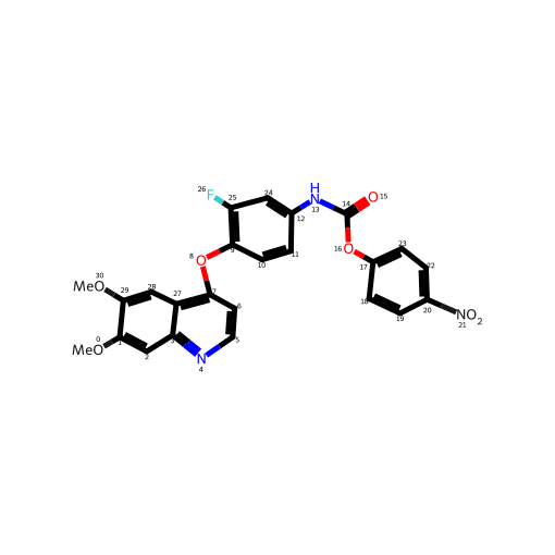 COc1cc2nccc(Oc3ccc(NC(=O)Oc4ccc([N+](=O)[O-])cc4)cc3F)c2cc1OC